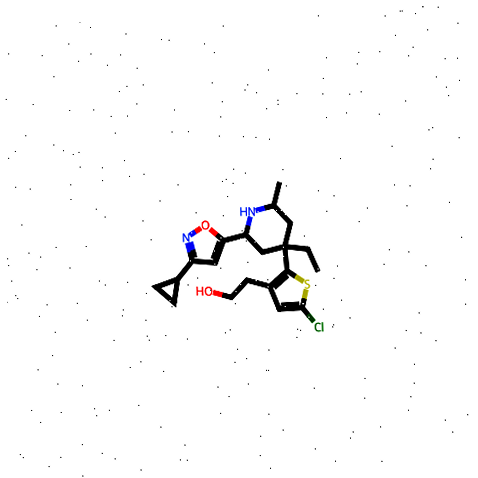 CCC1(c2sc(Cl)cc2CCO)CC(C)NC(c2cc(C3CC3)no2)C1